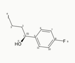 O[C@@H](CCI)c1ccc(F)cc1